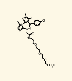 Cc1sc2c(c1C)C(c1ccc(Cl)cc1)=N[C@@H](CC(=O)NCCOCCOCCOCC(=O)O)c1nnc(C)n1-2